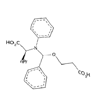 CCC[C@@H](C(=O)O)N(c1ccccc1)[C@H](OCCC(=O)O)c1ccccc1